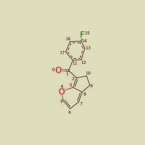 O=C(C1=C2OC=CC=C2CC1)c1ccc(F)cc1